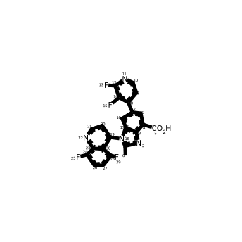 Cc1nc2c(C(=O)O)cc(-c3ccnc(F)c3F)cc2n1-c1ccnc2c(F)ccc(F)c12